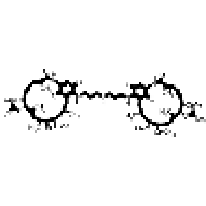 CO[C@H]1C[C@H](C)CC2=C(NCCCNCCCNC3=C4C[C@@H](C)C[C@H](OC)[C@@H](O)[C@@H](C)/C=C(\C)[C@H](OC(N)=O)[C@@H](OC)/C=C\C=C(/C)C(=O)NC(=CC3=O)C4=O)C(=O)C=C(NC(=O)/C(C)=C/C=C\[C@H](OC)[C@@H](OC(N)=O)/C(C)=C/[C@H](C)C1O)C2=O